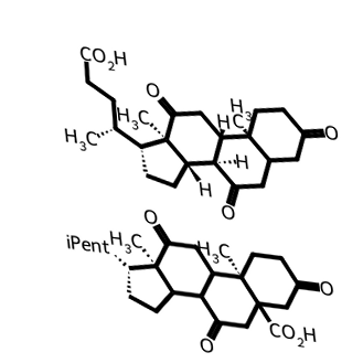 CCC[C@@H](C)[C@H]1CCC2C3C(=O)CC4(C(=O)O)CC(=O)CC[C@]4(C)C3CC(=O)[C@@]21C.C[C@H](CCC(=O)O)[C@H]1CC[C@H]2[C@@H]3C(=O)CC4CC(=O)CC[C@]4(C)[C@H]3CC(=O)[C@]12C